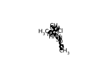 COc1cnc(Cl)cc1-c1cc(C)ncc1C(=O)Nc1nnc(OCC2CCN(C)C2)s1